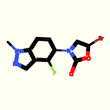 Cn1ncc2c(F)c(-n3cc(Br)oc3=O)ccc21